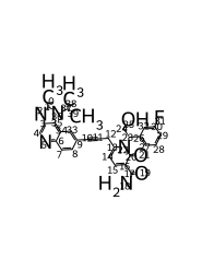 Cc1nc2cnc3ccc(C#CCc4ccc(C(N)=O)c(=O)n4[C@@H](CO)c4cccc(F)c4)cc3c2n1C(C)C